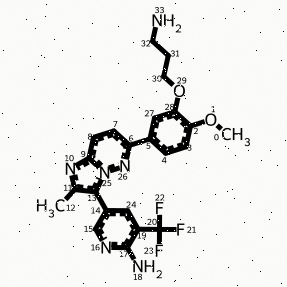 COc1ccc(-c2ccc3nc(C)c(-c4cnc(N)c(C(F)(F)F)c4)n3n2)cc1OCCCN